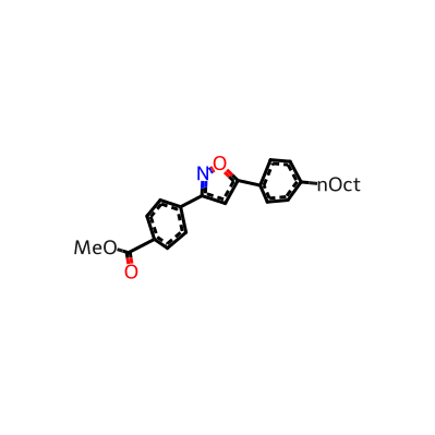 CCCCCCCCc1ccc(-c2cc(-c3ccc(C(=O)OC)cc3)no2)cc1